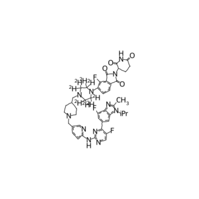 [2H]C1([2H])N(CC2CCN(Cc3ccc(Nc4ncc(F)c(-c5cc(F)c6nc(C)n(C(C)C)c6c5)n4)nc3)CC2)C([2H])([2H])C([2H])([2H])N(c2ccc3c(c2F)C(=O)N(C2CCC(=O)NC2=O)C3=O)C1([2H])[2H]